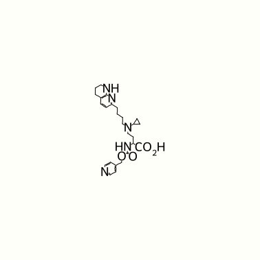 O=C(N[C@@H](CCN(CCCCc1ccc2c(n1)NCCC2)C1CC1)C(=O)O)OCc1ccncc1